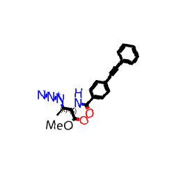 COC(=O)[C@@H](NC(=O)c1ccc(C#Cc2ccccc2)cc1)[C@@H](C)N=[N+]=[N-]